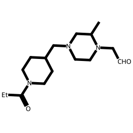 CCC(=O)N1CCC(CN2CCN(CC=O)C(C)C2)CC1